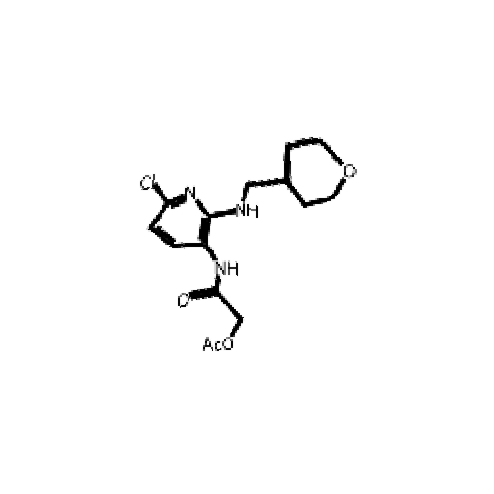 CC(=O)OCC(=O)Nc1ccc(Cl)nc1NCC1CCOCC1